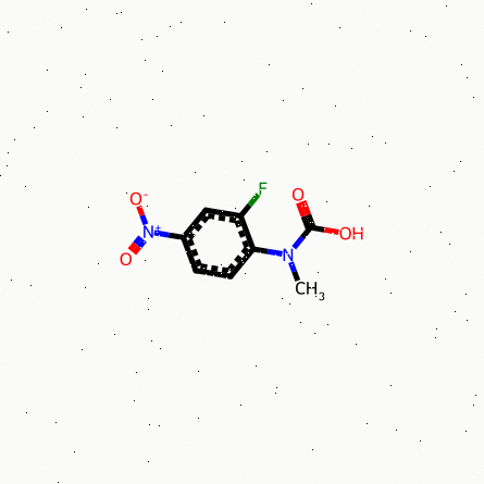 CN(C(=O)O)c1ccc([N+](=O)[O-])cc1F